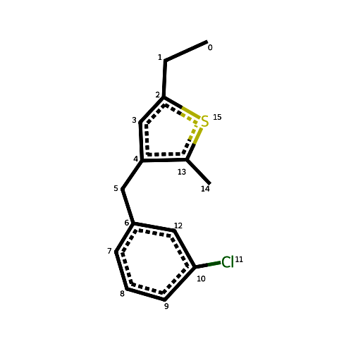 CCc1cc(Cc2cccc(Cl)c2)c(C)s1